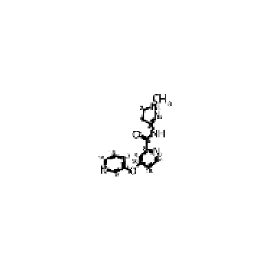 CN1CCC(NC(=O)c2cc(Oc3cccnc3)ccn2)=N1